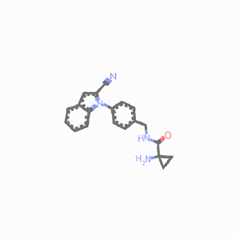 N#Cc1cc2ccccc2n1-c1ccc(CNC(=O)C2(N)CC2)cc1